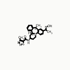 CC(=NO)c1ccc2c(c1)[C@H](C)c1ccccc1[C@H]1C[C@H](NC(=O)c3snnc3C)CCN21